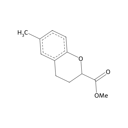 COC(=O)C1CCc2cc(C)ccc2O1